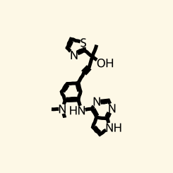 CN(C)c1ccc(C#CC(C)(O)c2nccs2)cc1Nc1ncnc2[nH]ccc12